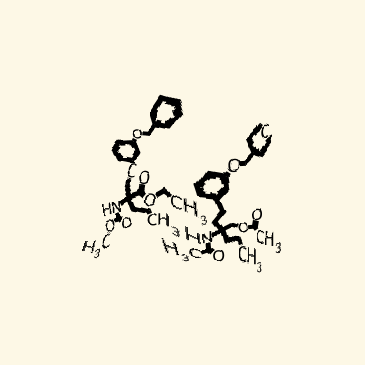 CCCC(CCc1cccc(OCc2ccccc2)c1)(COC(C)=O)NC(C)=O.CCCC(CCc1cccc(OCc2ccccc2)c1)(NC(=O)OC)C(=O)OCC